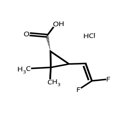 CC1(C)C(C=C(F)F)[C@H]1C(=O)O.Cl